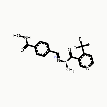 CN(/N=C/c1ccc(C(=O)NO)cc1)C(=O)c1cnccc1C(F)(F)F